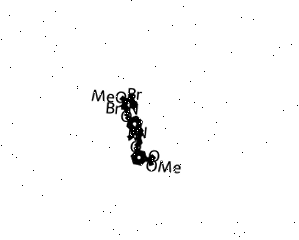 COC(=O)c1cccc(OCc2nc3ccc(Oc4ncc(Br)c(OC)c4Br)cc3n2C)c1